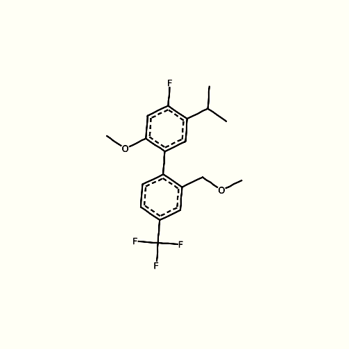 COCc1cc(C(F)(F)F)ccc1-c1cc(C(C)C)c(F)cc1OC